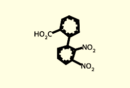 O=C(O)c1ccccc1-c1cccc([N+](=O)[O-])c1[N+](=O)[O-]